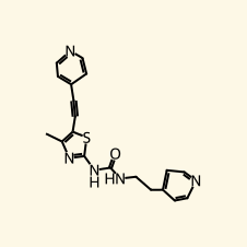 Cc1nc(NC(=O)NCCc2ccncc2)sc1C#Cc1ccncc1